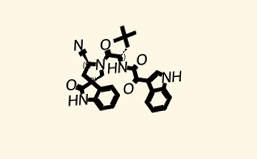 CC(C)(C)C[C@H](NC(=O)C(=O)c1c[nH]c2ccccc12)C(=O)N1C[C@]2(C[C@H]1C#N)C(=O)Nc1ccccc12